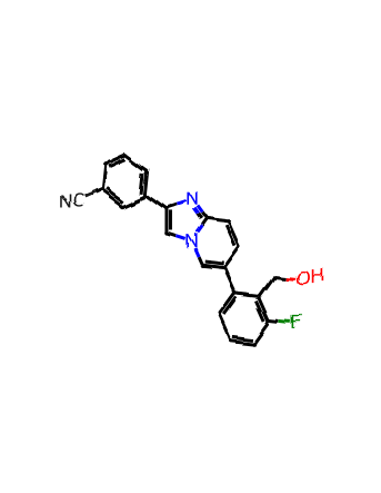 N#Cc1cccc(-c2cn3cc(-c4cccc(F)c4CO)ccc3n2)c1